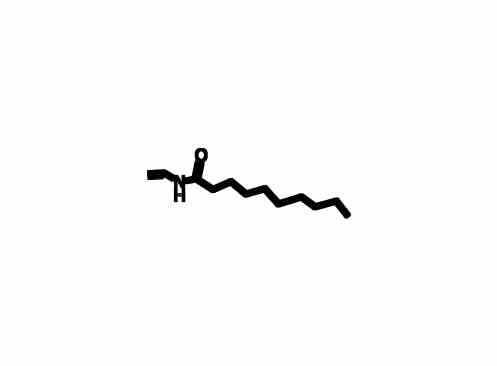 C=CNC(=O)CCCCCCCCC